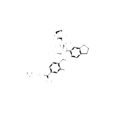 COC(=O)c1ccc(COc2cc3c(cc2N(CC(C)C)S(=O)(=O)c2nccs2)CCC3)c(C)c1